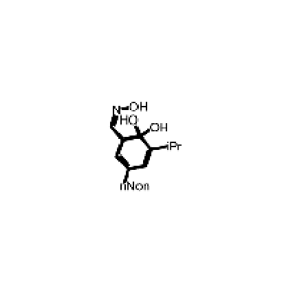 CCCCCCCCCC1=CC(/C=N\O)C(O)(O)C(C(C)C)=C1